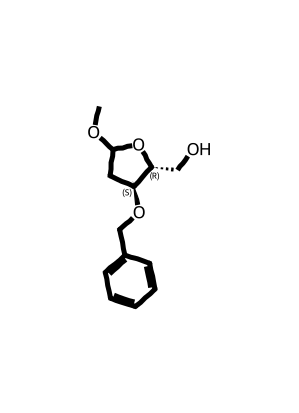 COC1C[C@H](OCc2ccccc2)[C@@H](CO)O1